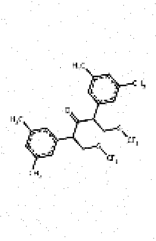 Cc1cc(C)cc(C(CSC(F)(F)F)C(=O)C(CSC(F)(F)F)c2cc(C)cc(C)c2)c1